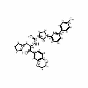 O=C(N[C@H](CN1CCCC1)[C@H](O)c1ccc2c(c1)OCCO2)[C@@H]1CCN(c2cccc(-c3ccc(F)cc3)n2)C1